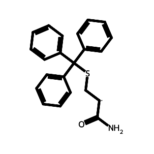 NC(=O)[CH]CSC(c1ccccc1)(c1ccccc1)c1ccccc1